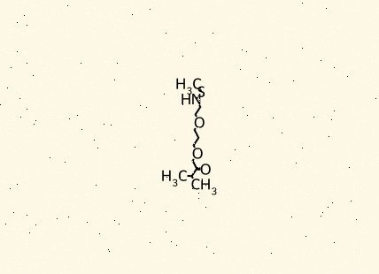 CSNCCOCCCOCC(=O)C(C)C